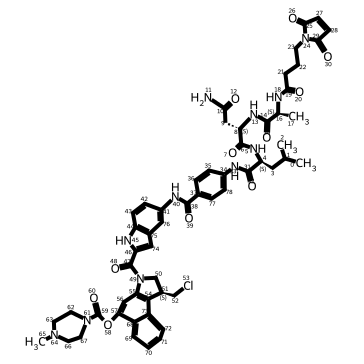 CC(C)C[C@H](NC(=O)[C@H](CC(N)=O)NC(=O)[C@H](C)NC(=O)CCCN1C(=O)C=CC1=O)C(=O)Nc1ccc(C(=O)Nc2ccc3[nH]c(C(=O)N4C[C@@H](CCl)c5c4cc(OC(=O)N4CCN(C)CC4)c4ccccc54)cc3c2)cc1